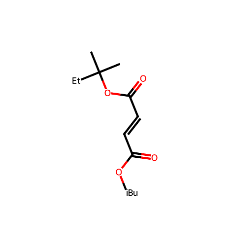 CCC(C)OC(=O)C=CC(=O)OC(C)(C)CC